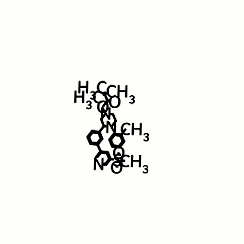 Cc1ccccc1N1CCN(OC(=O)C(C)(C)C)CC1c1cccc(-c2cncc(S(C)(=O)=O)c2)c1